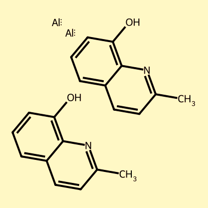 Cc1ccc2cccc(O)c2n1.Cc1ccc2cccc(O)c2n1.[Al].[Al]